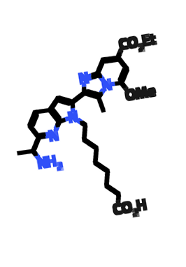 CCOC(=O)c1cc(OC)n2c(C)c(-c3cc4ccc(C(C)N)nc4n3CCCCCCCC(=O)O)nc2c1